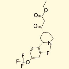 CCOC(=O)CC(=O)[C@@H]1CCN(C)[C@H](c2ccc(OC(F)(F)F)cc2F)C1